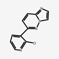 Clc1ncccc1-c1ccc2nccn2n1